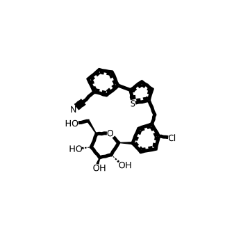 N#Cc1cccc(-c2ccc(Cc3cc([C@@H]4O[C@H](CO)[C@@H](O)[C@H](O)[C@H]4O)ccc3Cl)s2)c1